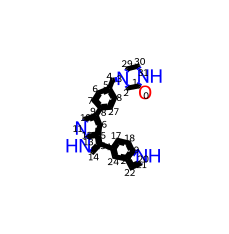 O=C1CN(Cc2ccc(-c3cnc4[nH]cc(-c5ccc6[nH]ccc6c5)c4c3)cc2)CCN1